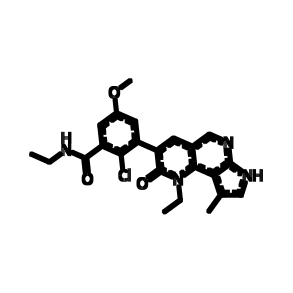 CCNC(=O)c1cc(OC)cc(-c2cc3cnc4[nH]cc(C)c4c3n(CC)c2=O)c1Cl